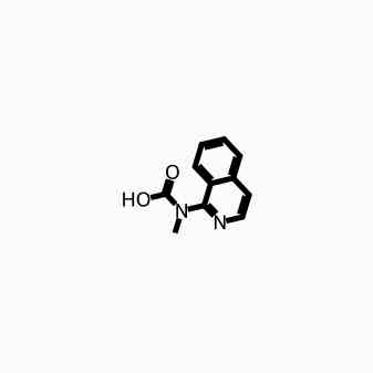 CN(C(=O)O)c1nccc2ccccc12